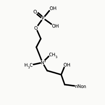 CCCCCCCCCCC(O)C[N+](C)(C)CCOP(=O)(O)O